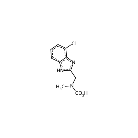 CN(Cc1nc2c(Cl)cccc2[nH]1)C(=O)O